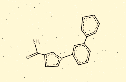 NC(=O)c1ccn(-c2cccc(-c3ccccc3)c2)c1